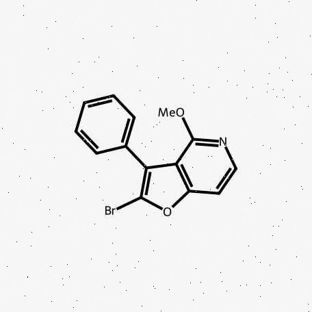 COc1nccc2oc(Br)c(-c3ccccc3)c12